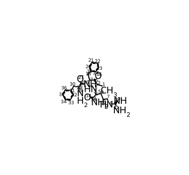 CCC(NC(CCCNC(=N)N)C(N)=O)C(=O)C(Cc1ccccc1)NC(=O)C(N)Cc1ccccc1